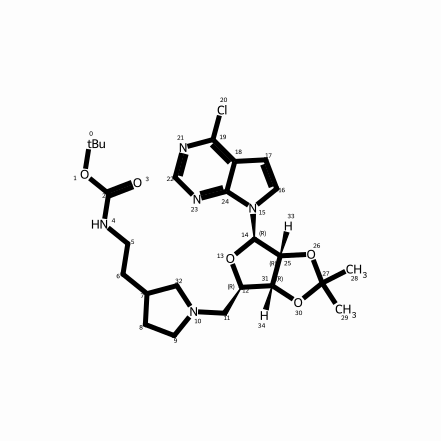 CC(C)(C)OC(=O)NCCC1CCN(C[C@H]2O[C@@H](n3ccc4c(Cl)ncnc43)[C@@H]3OC(C)(C)O[C@@H]32)C1